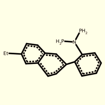 CCc1ccc2cc(-c3ccccc3N(P)P)ccc2c1